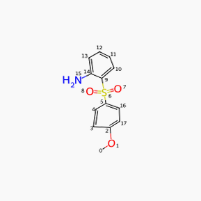 COc1ccc(S(=O)(=O)c2ccccc2N)cc1